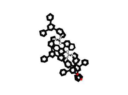 c1ccc(-c2cc(-c3ccccc3)cc(-c3ccc4ccn(P(Oc5ccc6c(c5-c5c(OP(n7ccc8ccc(-c9cc(-c%10ccccc%10)cc(-c%10ccccc%10)c9)cc87)n7ccc8ccc(-c9cc(-c%10ccccc%10)cc(-c%10ccccc%10)c9)cc87)ccc7c5CCCC7)CCCC6)n5ccc6ccc(-c7cc(-c8ccccc8)cc(-c8ccccc8)c7)cc65)c4c3)c2)cc1